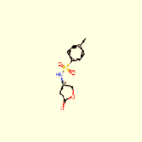 Cc1ccc(S(=O)(=O)N[C@H]2COC(=O)C2)cc1